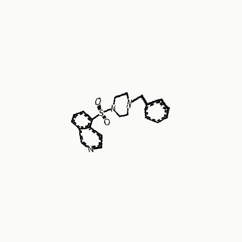 O=S(=O)(c1cccc2cnccc12)N1CCN(Cc2ccccc2)CC1